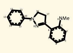 CNc1ccccc1C1=NN(c2ccccc2)CC1